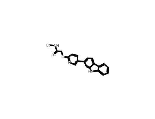 CCNC(=O)COc1ccc(-c2ccc3c(c2)[nH]c2ccccc23)cn1